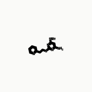 CSc1cc(N)nc(SCCc2ccccn2)n1